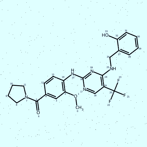 COc1cc(C(=O)N2CCCC2)ccc1Nc1ncc(C(F)(F)F)c(NCc2ccccc2O)n1